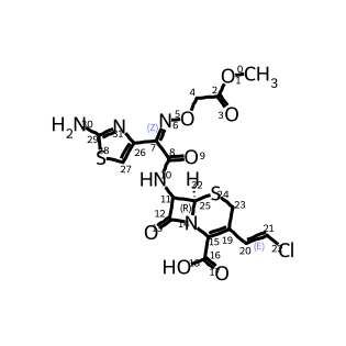 COC(=O)CO/N=C(\C(=O)NC1C(=O)N2C(C(=O)O)=C(/C=C/Cl)CS[C@H]12)c1csc(N)n1